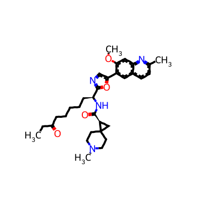 CCC(=O)CCCCC[C@H](NC(=O)[C@H]1CC12CCN(C)CC2)c1ncc(-c2cc3ccc(C)nc3cc2OC)o1